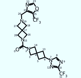 O=C(N1CC2(CC(n3cnc(C(F)(F)F)n3)C2)C1)N1CC2(CN(Cc3ncoc3C(F)(F)F)C2)C1